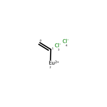 C=[CH][Eu+2].[Cl-].[Cl-]